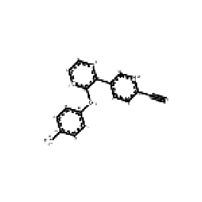 C#Cc1ccc(-c2nccnc2Oc2ccc(C(F)(F)F)cc2)cn1